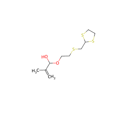 C=C(C)C(O)OCCSCC1SCCS1